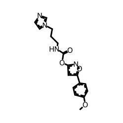 COc1ccc(-c2cc(OC(=O)NCCCn3ccnc3)no2)cc1